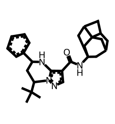 CC(C)(C)C1CC(c2ccccc2)Nc2c(C(=O)NC34CC5CC6CC(C3)C6(C5)C4)cnn21